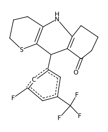 O=C1CCCC2=C1C(c1cc(F)cc(C(F)(F)F)c1)C1=C(CCCS1)N2